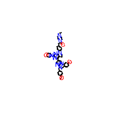 CCN1CCN(C(=O)Cc2ccc(N3CCc4c(-c5cnc(N(Cc6ccc(OC)cc6)Cc6ccc(OC)cc6)nc5)nc(N5CCOCC5)nc43)cc2)CC1